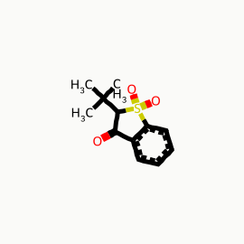 CC(C)(C)C1C(=O)c2ccccc2S1(=O)=O